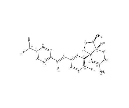 C[C@@H]1OC[C@@]2(c3cc(/C=C(\F)c4cnc(C(F)F)cn4)ccc3F)N=C(N)SC[C@@H]12